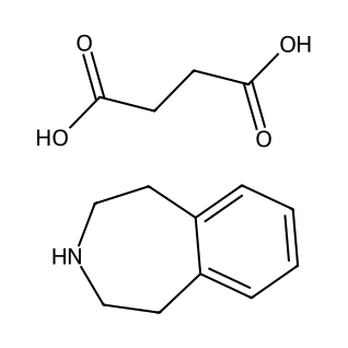 O=C(O)CCC(=O)O.c1ccc2c(c1)CCNCC2